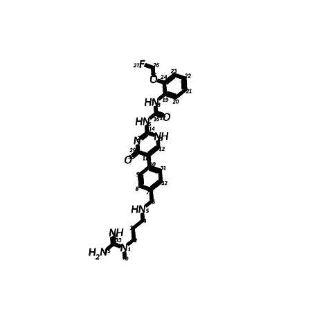 CN(CCCNCc1ccc(-c2c[nH]c(NC(=O)Nc3ccccc3OCF)nc2=O)cc1)C(=N)N